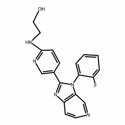 OCCNc1ccc(-c2nc3ccncc3n2-c2ccccc2F)cn1